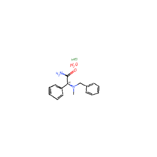 CN(Cc1ccccc1)[C@H](C(N)=O)c1ccccc1.Cl.O